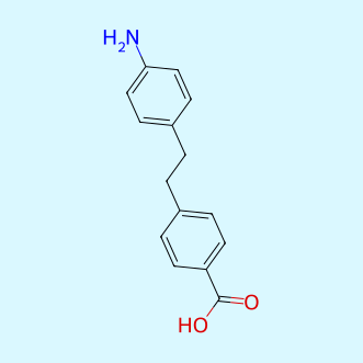 Nc1ccc(CCc2ccc(C(=O)O)cc2)cc1